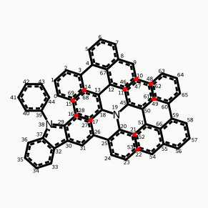 c1ccc(-c2cccc3cccc(-c4ccccc4N(c4ccccc4-c4ccc5c(c4)c4ccccc4n5-c4ccccc4)c4ccccc4-c4cccc5cccc(-c6ccccc6)c45)c23)cc1